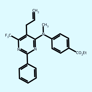 C=CCc1c(N(C)c2ccc(C(=O)OCC)cc2)nc(-c2ccccc2)nc1C(F)(F)F